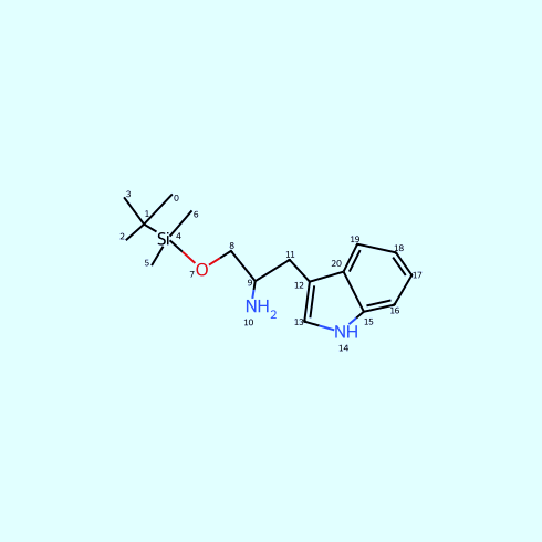 CC(C)(C)[Si](C)(C)OCC(N)Cc1c[nH]c2ccccc12